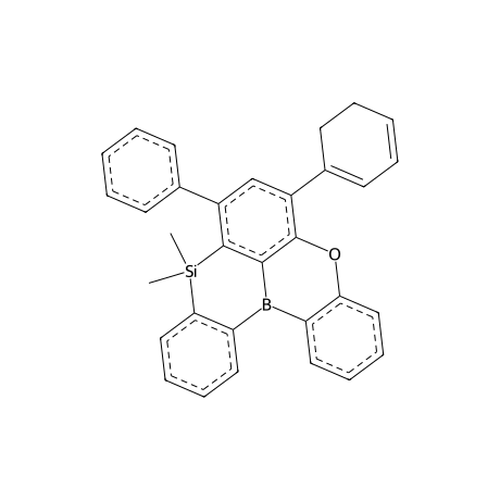 C[Si]1(C)c2ccccc2B2c3ccccc3Oc3c(C4=CC=CCC4)cc(-c4ccccc4)c1c32